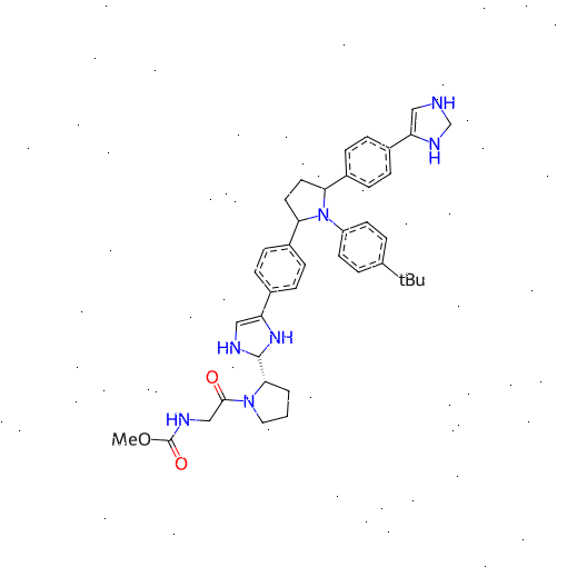 COC(=O)NCC(=O)N1CCC[C@H]1C1NC=C(c2ccc(C3CCC(c4ccc(C5=CNCN5)cc4)N3c3ccc(C(C)(C)C)cc3)cc2)N1